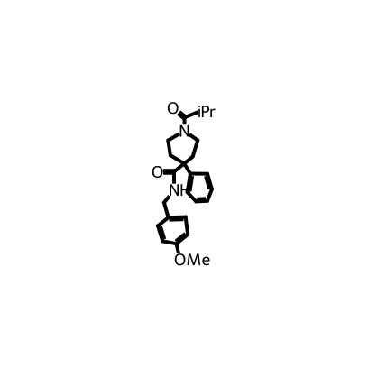 COc1ccc(CNC(=O)C2(c3ccccc3)CCN(C(=O)C(C)C)CC2)cc1